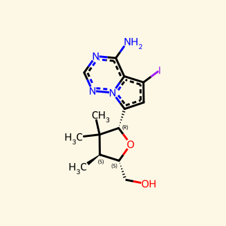 C[C@@H]1[C@@H](CO)O[C@@H](c2cc(I)c3c(N)ncnn23)C1(C)C